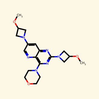 COC1CN(c2cnc3c(N4CCOCC4)nc(N4CC(OC)C4)nc3c2)C1